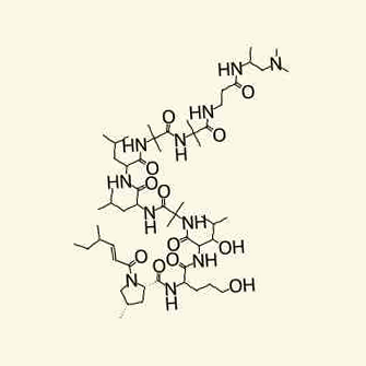 CCC(C)/C=C/C(=O)N1C[C@@H](C)C[C@H]1C(=O)NC(CCCO)C(=O)NC(C(=O)NC(C)(C)C(=O)NC(CC(C)C)C(=O)NC(CC(C)C)C(=O)NC(C)(C)C(=O)NC(C)(C)C(=O)NCCC(=O)NC(C)CN(C)C)C(O)C(C)C